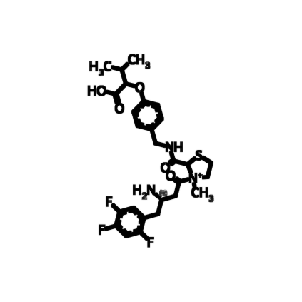 CC(C)C(Oc1ccc(CNC(=O)C2SCC[N+]2(C)C(=O)C[C@H](N)Cc2cc(F)c(F)cc2F)cc1)C(=O)O